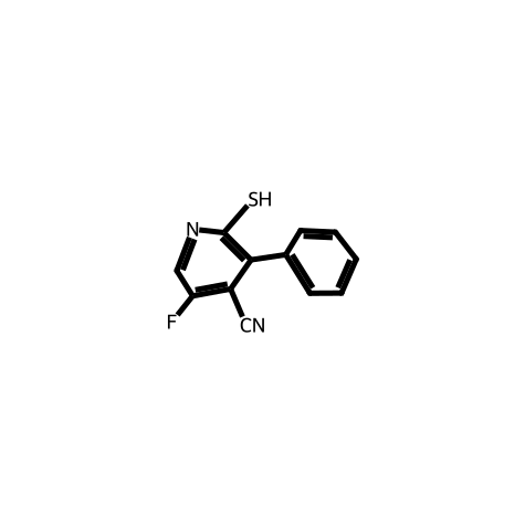 N#Cc1c(F)cnc(S)c1-c1ccccc1